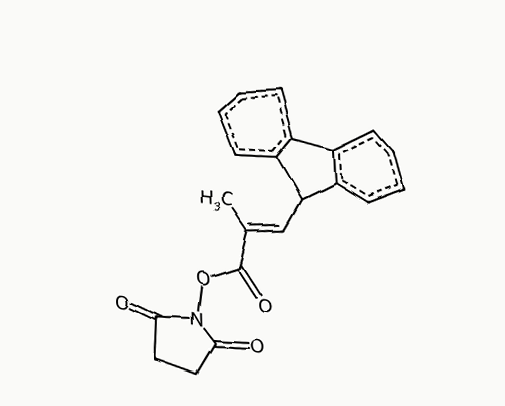 CC(=CC1c2ccccc2-c2ccccc21)C(=O)ON1C(=O)CCC1=O